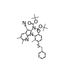 Cc1cc2c(C#N)c(N(C(=O)OC(C)(C)C)C(=O)OC(C)(C)C)n(-c3c(C)ccc(SCc4ccccc4)c3C)c2nc1C